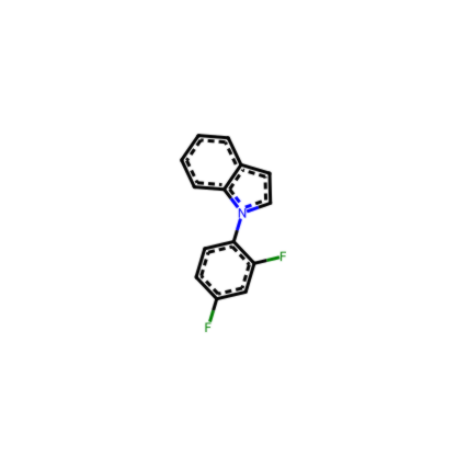 Fc1ccc(-n2ccc3ccccc32)c(F)c1